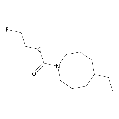 CCC1CCCN(C(=O)OCCF)CCC1